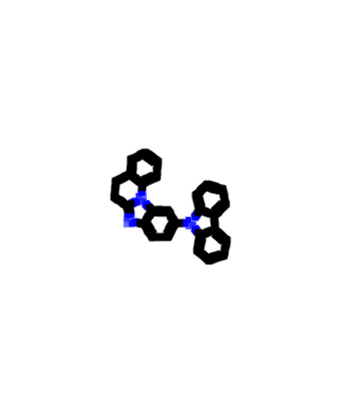 c1ccc2c(c1)CCc1nc3ccc(-n4c5ccccc5c5ccccc54)cc3n1-2